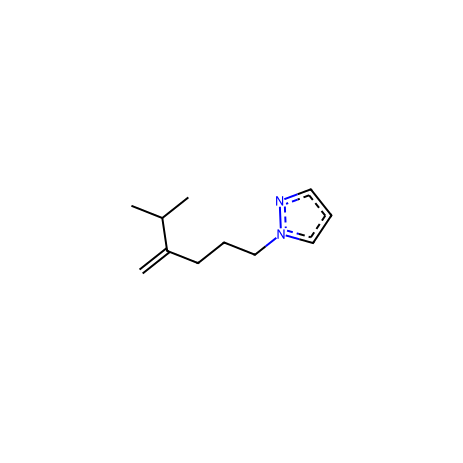 C=C(CCCn1cccn1)C(C)C